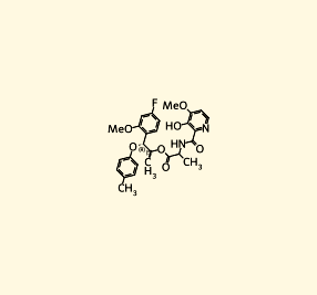 COc1cc(F)ccc1[C@@H](Oc1ccc(C)cc1)[C@H](C)OC(=O)C(C)NC(=O)c1nccc(OC)c1O